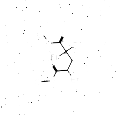 CCC(CC(CC)(CC)C(=O)OCl)C(=O)OCl